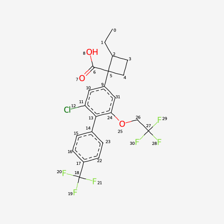 CCC1CCC1(C(=O)O)c1cc(Cl)c(-c2ccc(C(F)(F)F)cc2)c(OCC(F)(F)F)c1